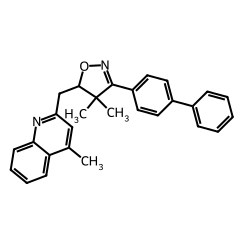 Cc1cc(CC2ON=C(c3ccc(-c4ccccc4)cc3)C2(C)C)nc2ccccc12